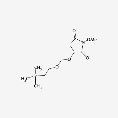 CON1C(=O)CC(OCOCCS(C)(C)C)C1=O